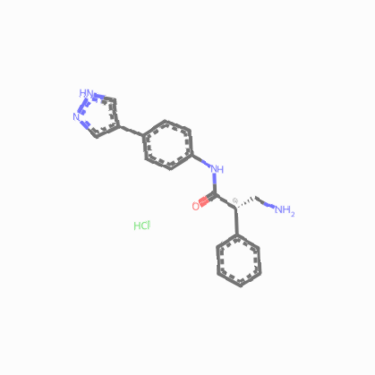 Cl.NC[C@@H](C(=O)Nc1ccc(-c2cn[nH]c2)cc1)c1ccccc1